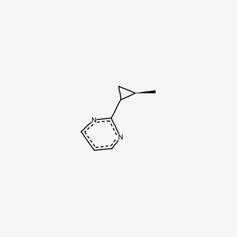 C[C@@H]1CC1c1ncccn1